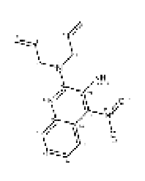 C=CCN(CC=C)c1nc2ccccc2c([N+](=O)[O-])c1N